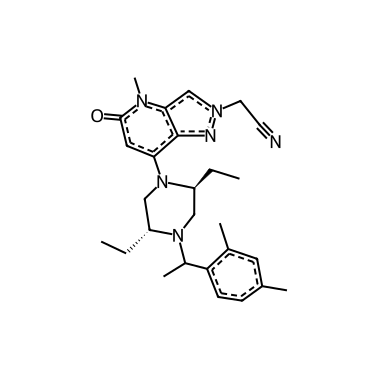 CC[C@H]1CN(C(C)c2ccc(C)cc2C)[C@H](CC)CN1c1cc(=O)n(C)c2cn(CC#N)nc12